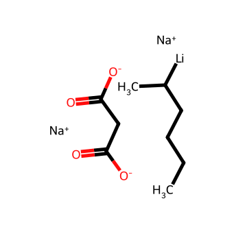 O=C([O-])CC(=O)[O-].[Li][CH](C)CCCC.[Na+].[Na+]